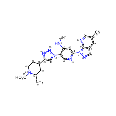 CC(C)Nc1cc(-n2ncc3cc(C#N)cnc32)ncc1-n1cc(C2CCN(C(=O)O)C(C)C2)nn1